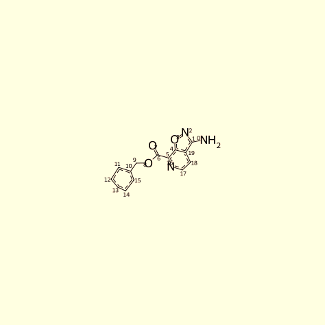 Nc1noc2c(C(=O)OCc3ccccc3)nccc12